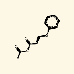 CC(=O)OC(=O)C=CSc1ccccc1